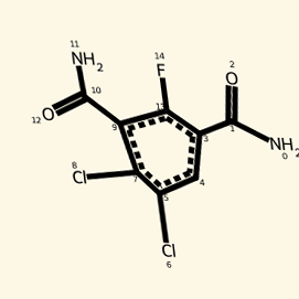 NC(=O)c1cc(Cl)c(Cl)c(C(N)=O)c1F